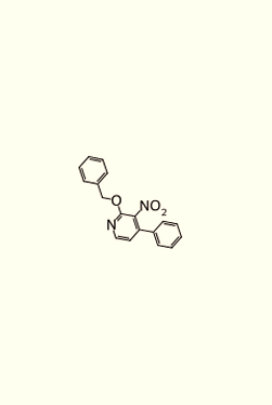 O=[N+]([O-])c1c(-c2ccccc2)ccnc1OCc1ccccc1